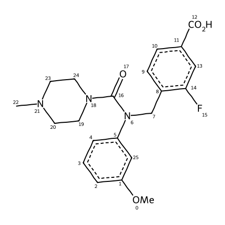 COc1cccc(N(Cc2ccc(C(=O)O)cc2F)C(=O)N2CCN(C)CC2)c1